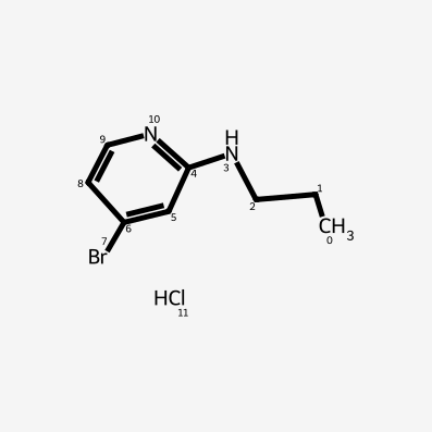 CCCNc1cc(Br)ccn1.Cl